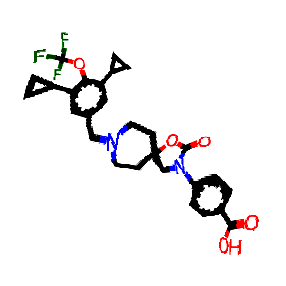 O=C(O)c1ccc(N2CC3(CCN(Cc4cc(C5CC5)c(OC(F)(F)F)c(C5CC5)c4)CC3)OC2=O)cc1